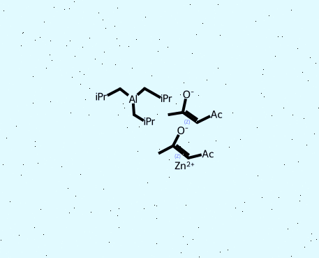 CC(=O)/C=C(/C)[O-].CC(=O)/C=C(/C)[O-].CC(C)[CH2][Al]([CH2]C(C)C)[CH2]C(C)C.[Zn+2]